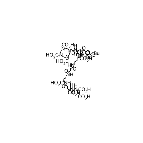 CC(C)(C)[Si](F)(c1ccc(C(=O)NC[C@H](NC(=O)CN2CCN(CC(=O)O)CCN(CC(=O)O)CCN(CC(=O)O)CC2)C(=O)N[C@H](CCCCNC(=O)CCC(=O)NCCC[C@H](NC(=O)CC[C@H](NC(=O)N[C@@H](CCC(=O)O)C(=O)O)C(=O)O)C(=O)O)C(=O)O)cc1)C(C)(C)C